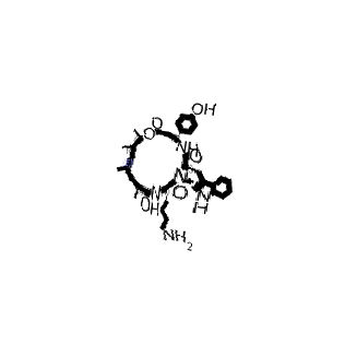 C/C1=C\[C@@H](C)[C@@H](C)OC(=O)C[C@H](c2ccc(O)cc2)NC(=O)[C@@H](Cc2c[nH]c3ccccc23)N(C)C(=O)[C@H](CCCCN)NC(=O)[C@@H](C)C1